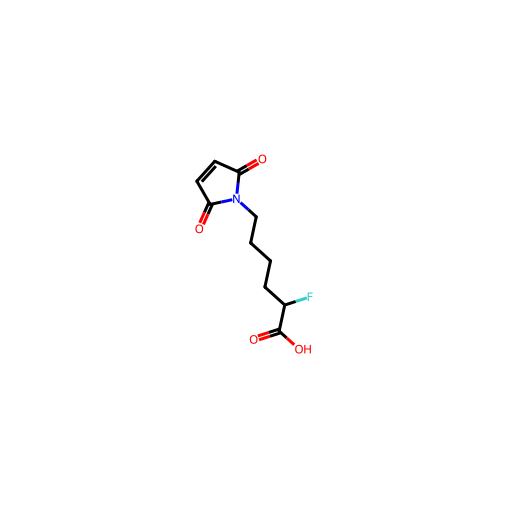 O=C(O)C(F)CCCCN1C(=O)C=CC1=O